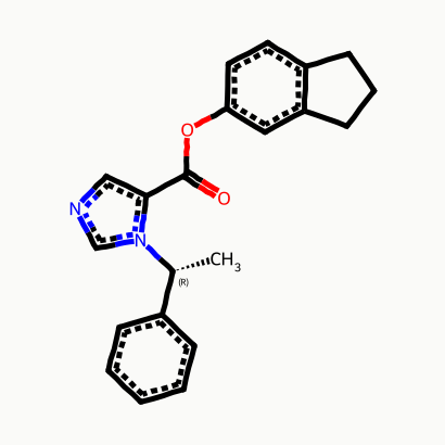 C[C@H](c1ccccc1)n1cncc1C(=O)Oc1ccc2c(c1)CCC2